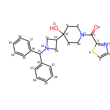 O=C(c1nccs1)N1CCC(O)(C2CN(C(c3ccccc3)c3ccccc3)C2)CC1